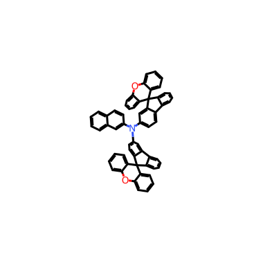 c1ccc2c(c1)Oc1ccccc1C21c2ccccc2-c2cc(N(c3ccc4c(c3)C3(c5ccccc5Oc5ccccc53)c3ccccc3-4)c3ccc4ccccc4c3)ccc21